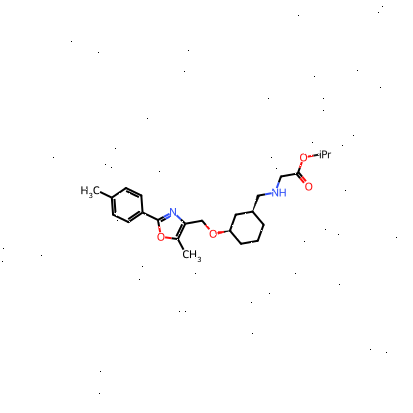 Cc1ccc(-c2nc(CO[C@@H]3CCC[C@H](CNCC(=O)OC(C)C)C3)c(C)o2)cc1